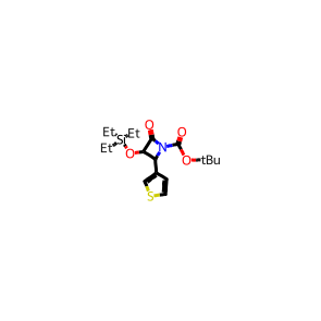 CC[Si](CC)(CC)OC1C(=O)N(C(=O)OC(C)(C)C)C1c1ccsc1